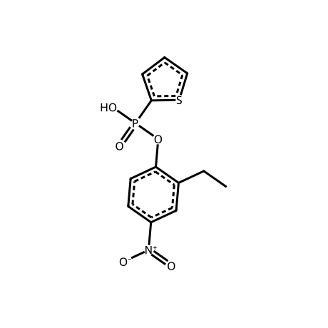 CCc1cc([N+](=O)[O-])ccc1OP(=O)(O)c1cccs1